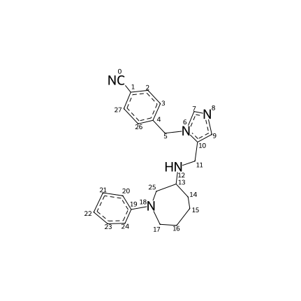 N#Cc1ccc(Cn2cncc2CNC2CCCCN(c3ccccc3)C2)cc1